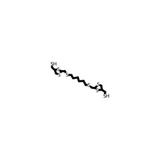 SCC1CSC(CSCCCCCCSCC2SCC(CS)S2)S1